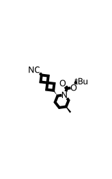 C[C@H]1CC[C@H](C2CC3(CC(C#N)C3)C2)N(C(=O)OC(C)(C)C)C1